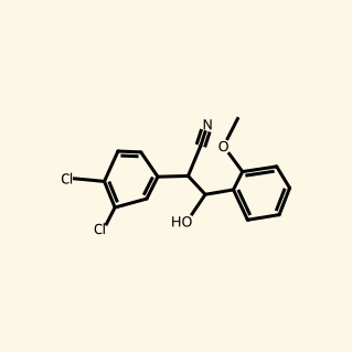 COc1ccccc1C(O)C(C#N)c1ccc(Cl)c(Cl)c1